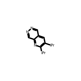 CC(C)c1cc2cnncc2nc1C(C)C